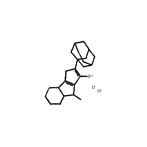 CC1C2=C(CC(C34CC5CC(CC(C5)C3)C4)=[C]2[Zr+2])C2CCCCC12.[Cl-].[Cl-]